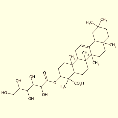 CC1(C)CCC2(C)CCC3(C)C(=CCC4C5(C)CCC(OC(=O)C(O)C(O)C(O)C(O)CO)C(C)(C(=O)O)C5CCC43C)C2C1